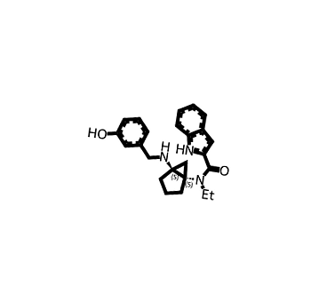 CCN(C(=O)c1cc2ccccc2[nH]1)[C@]12CCC[C@]1(NCc1cccc(O)c1)C2